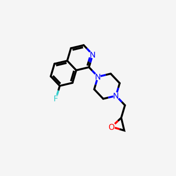 Fc1ccc2ccnc(N3CCN(CC4CO4)CC3)c2c1